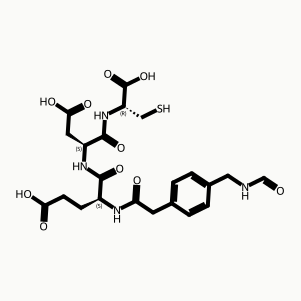 O=CNCc1ccc(CC(=O)N[C@@H](CCC(=O)O)C(=O)N[C@@H](CC(=O)O)C(=O)N[C@@H](CS)C(=O)O)cc1